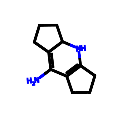 NC1=C2CCCC2NC2=C1CCC2